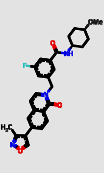 CO[C@H]1CC[C@@H](NC(=O)c2cc(F)cc(Cn3ccc4cc(-c5conc5C)ccc4c3=O)c2)CC1